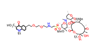 CC[C@@H]1OC(=O)[C@H](C)[C@H](O[C@@H]2C[C@](C)(OC)[C@H](OS(=O)(=O)CCNCCOCCOCCc3ccc4c(c3)c(=O)c(C(=O)O)cn4CC)[C@H](C)O2)[C@@H](C)[C@H](O[C@H]2O[C@@H](C)C[C@@H](N(C)C)[C@H]2O)[C@](C)(OC)C[C@H](C)C(=O)[C@@H](C)[C@H](O)[C@]1(C)O